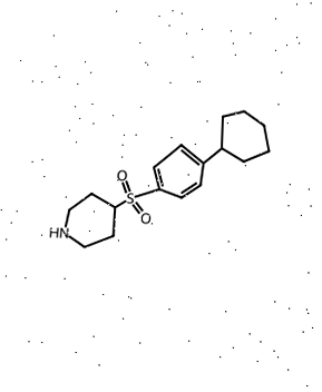 O=S(=O)(c1ccc(C2CCCCC2)cc1)C1CCNCC1